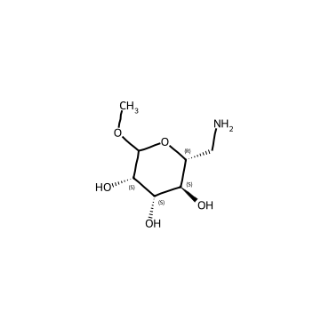 COC1O[C@H](CN)[C@@H](O)[C@H](O)[C@@H]1O